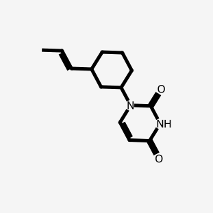 CC=CC1CCCC(n2ccc(=O)[nH]c2=O)C1